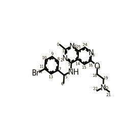 Cc1nc(NC(C)c2cccc(Br)c2)c2cc(OCCN(C)C)ncc2n1